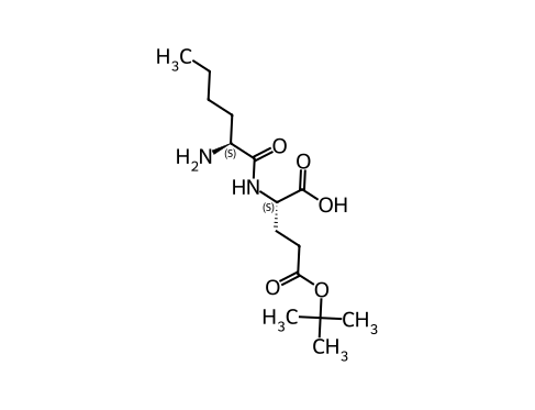 CCCC[C@H](N)C(=O)N[C@@H](CCC(=O)OC(C)(C)C)C(=O)O